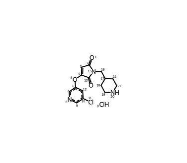 Cl.O=C1C=C(Oc2cncc(Cl)c2)C(=O)N1CC1CCNCC1